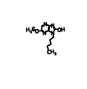 CCCCCn1c(O)nc2ncc(OC)nc21